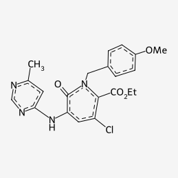 CCOC(=O)c1c(Cl)cc(Nc2cc(C)ncn2)c(=O)n1Cc1ccc(OC)cc1